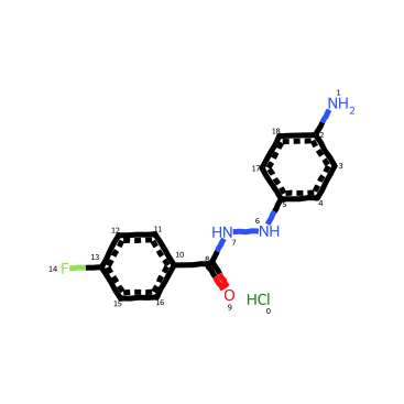 Cl.Nc1ccc(NNC(=O)c2ccc(F)cc2)cc1